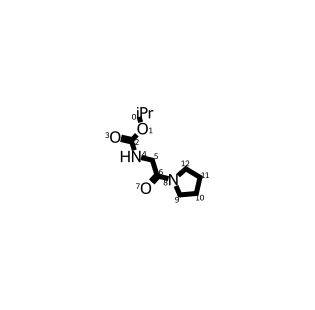 CC(C)OC(=O)NCC(=O)N1CCCC1